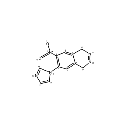 O=[N+]([O-])c1cc2c(cc1-n1ccnc1)CN=NC2